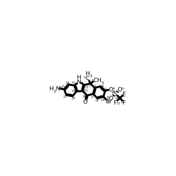 CC1(C)c2cc(OS(=O)(=O)C(F)(F)F)c(Br)cc2C(=O)c2c1[nH]c1cc(N)ccc21